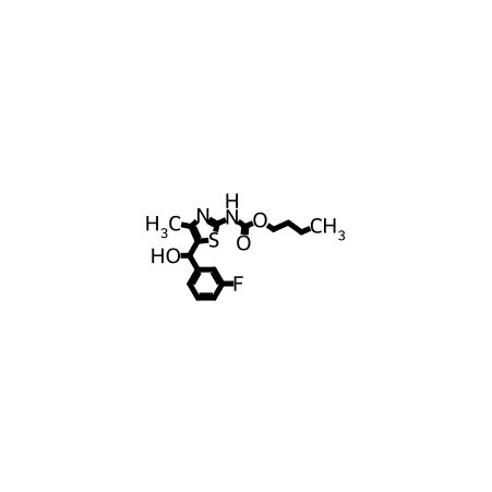 CCCCOC(=O)Nc1nc(C)c(C(O)c2cccc(F)c2)s1